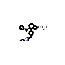 O=C(O)c1ccc2c(c1)CCCC([C@H]1C[C@@H]1c1ccccc1)=C2c1ccc(C=C2CN(CCCF)C2)cc1